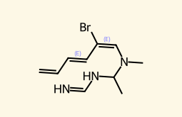 C=C/C=C/C(Br)=C\N(C)C(C)NC=N